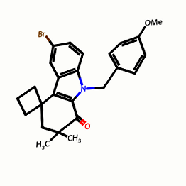 COc1ccc(Cn2c3c(c4cc(Br)ccc42)C2(CCC2)CC(C)(C)C3=O)cc1